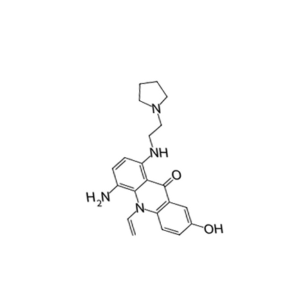 C=Cn1c2ccc(O)cc2c(=O)c2c(NCCN3CCCC3)ccc(N)c21